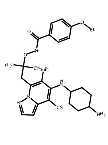 CCCc1c(NC2CCC(N)CC2)c(C#N)c2ccnn2c1CC(C)(C)O[N]C(=O)c1ccc(OCC)cc1